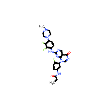 C=CC(=O)Nc1ccc(F)c(-n2cnc(=O)c3cnc(Nc4ccc(N5CCN(C)CC5)c(F)c4F)nc32)c1